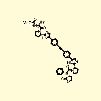 COC(=O)N[C@H](C(=O)N1CCC[C@H]1c1ncc(-c2ccc(C#Cc3ccc(-c4cnc([C@@H]5CCCN5C(=O)[C@@H](c5ccccc5)N5CCOC5=O)[nH]4)cc3)cc2)[nH]1)C(C)C